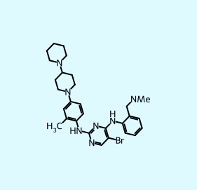 CNCc1ccccc1Nc1nc(Nc2ccc(N3CCC(N4CCCCC4)CC3)cc2C)ncc1Br